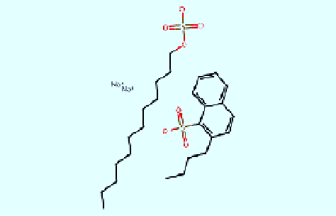 CCCCCCCCCCCCOS(=O)(=O)[O-].CCCCc1ccc2ccccc2c1S(=O)(=O)[O-].[Na+].[Na+]